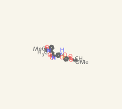 COC(=O)C(C)n1cc(/C=C2\C(=O)ON=C2c2ccc(NS(=O)(=O)c3cccc(C(=O)OCCC(C)OC)c3)cc2)c2ccccc21